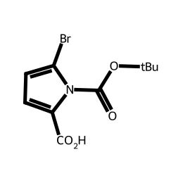 CC(C)(C)OC(=O)n1c(Br)ccc1C(=O)O